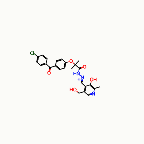 Cc1ncc(CO)c(/C=N/NC(=O)C(C)(C)Oc2ccc(C(=O)c3ccc(Cl)cc3)cc2)c1O